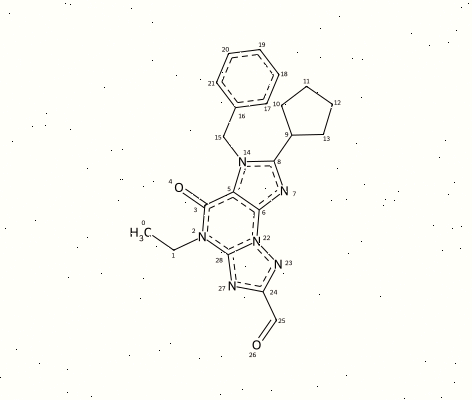 CCn1c(=O)c2c(nc(C3CCCC3)n2Cc2ccccc2)n2nc(C=O)nc12